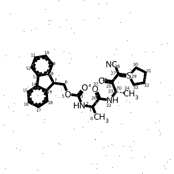 CC(NC(=O)OCC1c2ccccc2-c2ccccc21)C(=O)N[C@@H](C)C(=O)C(C#N)=S1CCCC1